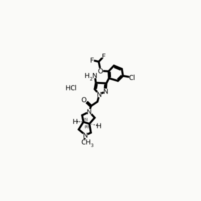 CN1C[C@@H]2CN(C(=O)Cn3cc(N)c(-c4cc(Cl)ccc4OC(F)F)n3)C[C@@H]2C1.Cl